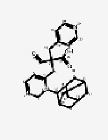 O=CC(CC1=CC=NCN1C1C2CC3CC(C2)CC1C3)(Cc1ccncc1)C(=O)O